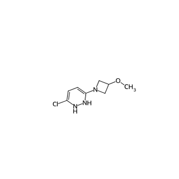 COC1CN(C2=CC=C(Cl)NN2)C1